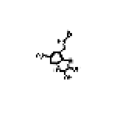 O=[N+]([O-])c1cc(CNC2CC2)c2c(c1)NC(O)C(O)N2